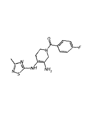 Cc1nsc(NC2=C(N)CN(C(=O)c3ccc(F)cc3)CC2)n1